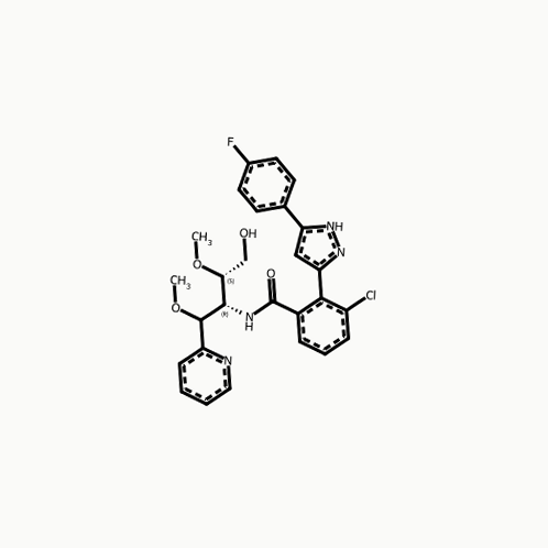 COC(c1ccccn1)[C@@H](NC(=O)c1cccc(Cl)c1-c1cc(-c2ccc(F)cc2)[nH]n1)[C@@H](CO)OC